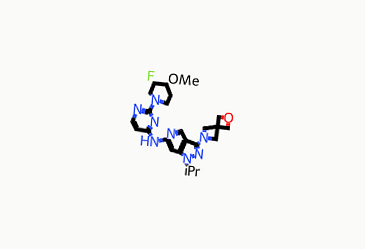 CO[C@H]1CCN(c2nccc(Nc3cc4c(cn3)c(N3CC5(COC5)C3)nn4C(C)C)n2)C[C@H]1F